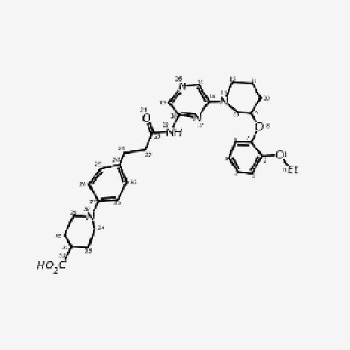 CCOc1ccccc1OC1CCCN(c2cncc(NC(=O)CCc3ccc(N4CCC(C(=O)O)CC4)cc3)n2)C1